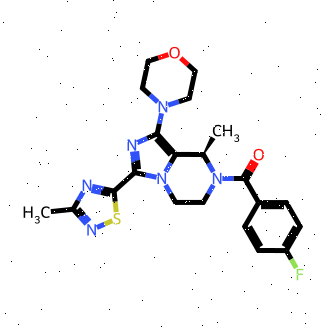 Cc1nsc(-c2nc(N3CCOCC3)c3n2CCN(C(=O)c2ccc(F)cc2)[C@@H]3C)n1